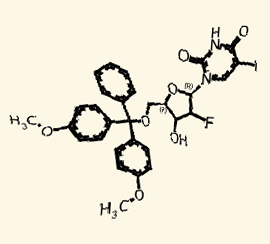 COc1ccc(C(OC[C@H]2O[C@@H](n3cc(I)c(=O)[nH]c3=O)C(F)C2O)(c2ccccc2)c2ccc(OC)cc2)cc1